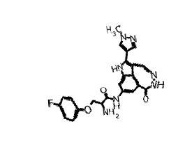 Cn1cc(-c2[nH]c3cc(NC(=O)C(N)COc4ccc(F)cc4)cc4c3c2C=NNC4=O)cn1